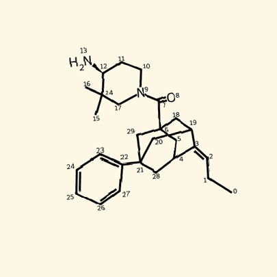 CCC=C1C2CC3(C(=O)N4CC[C@H](N)C(C)(C)C4)CC1CC(c1ccccc1)(C2)C3